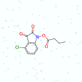 CCCC(=O)ON1C(=O)C(=O)c2c(Cl)cccc21